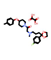 Cc1ccc(OC2CCN(C(=O)CN(C)CCCC3(c4ccc(F)cc4)OCCO3)CC2)cc1.O=C(O)C(=O)O